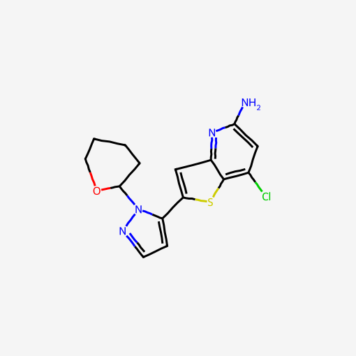 Nc1cc(Cl)c2sc(-c3ccnn3C3CCCCO3)cc2n1